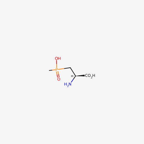 CP(=O)(O)C[C@H](N)C(=O)O